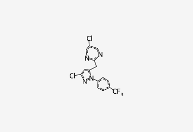 FC(F)(F)c1ccc(-n2nc(Cl)cc2Cc2ncc(Cl)cn2)cc1